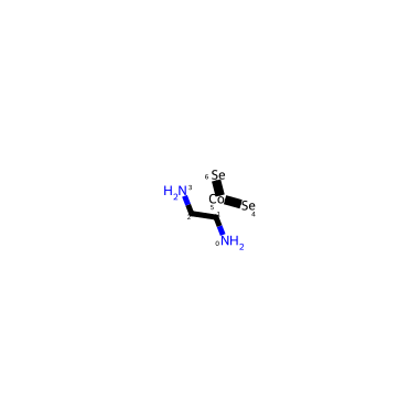 NCCN.[Se]=[Co]=[Se]